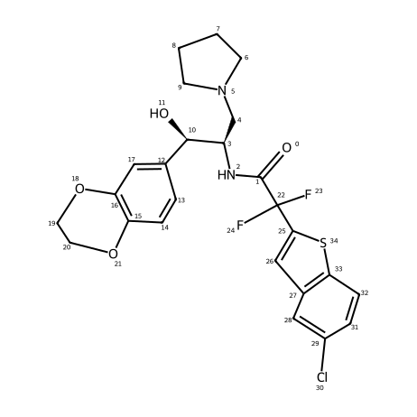 O=C(N[C@H](CN1CCCC1)[C@H](O)c1ccc2c(c1)OCCO2)C(F)(F)c1cc2cc(Cl)ccc2s1